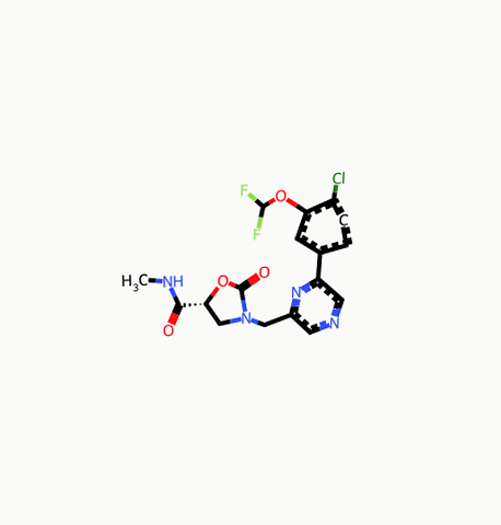 CNC(=O)[C@H]1CN(Cc2cncc(-c3ccc(Cl)c(OC(F)F)c3)n2)C(=O)O1